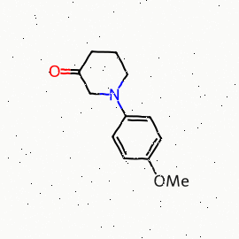 COc1ccc(N2CCCC(=O)C2)cc1